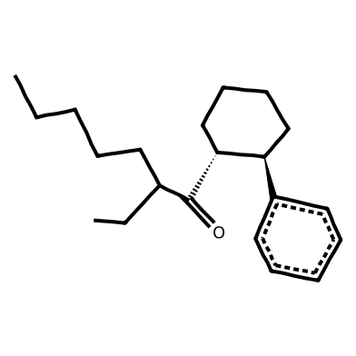 CCCCCC(CC)C(=O)[C@@H]1CCCC[C@H]1c1ccccc1